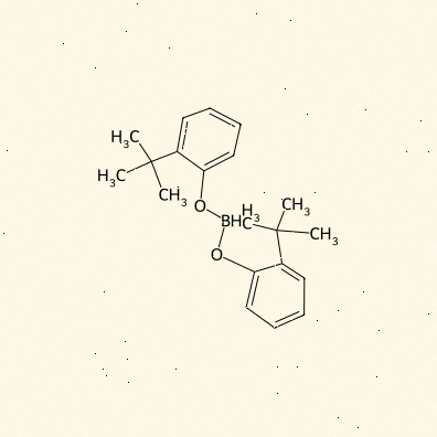 CC(C)(C)c1ccccc1OBOc1ccccc1C(C)(C)C